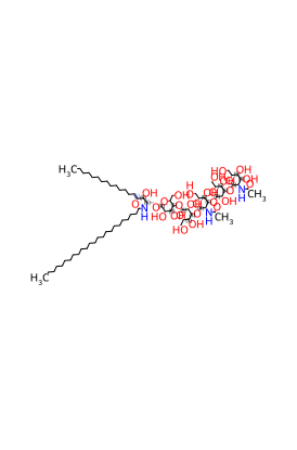 CCCCCCCCCCCCC/C=C/[C@@H](O)[C@H](CO[C@@H]1OC(CO)[C@@H](O[C@@H]2OC(CO)[C@H](O)[C@H](O[C@@H]3OC(CO)[C@@H](O)[C@H](O[C@@H]4OC(CO)[C@H](O)[C@H](O[C@@H]5OC(CO)[C@@H](O)[C@H](O)C5NC(C)=O)C4O)C3NC(C)=O)C2O)[C@H](O)C1O)NC(=O)CCCCCCCCCCCCCCCCCCCCCCC